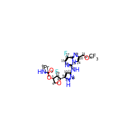 CC(C)NC(=O)O[C@@H]1CO[C@H](c2cc(Nc3ncc(F)c4nc(COC(F)(F)F)cn34)n[nH]2)[C@H]1F